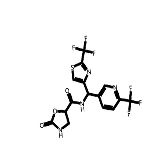 O=C1NCC(C(=O)NC(c2ccc(C(F)(F)F)nc2)c2csc(C(F)(F)F)n2)O1